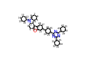 C1=CC2C(c3ccccc3N2c2ccccc2)c2c1oc1cc(-c3ccc(-c4nc(-c5ccccc5)nc(-c5ccccc5)n4)cc3)ccc21